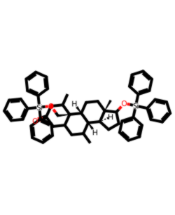 CC1CC2CC(=O)CC(C)[C@]2(CO[Si](c2ccccc2)(c2ccccc2)c2ccccc2)[C@@H]2CC[C@]3(C)C(O[Si](c4ccccc4)(c4ccccc4)c4ccccc4)CC[C@H]3[C@H]12